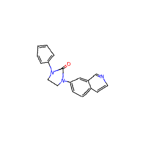 O=C1N(c2ccccc2)CCN1c1ccc2ccncc2c1